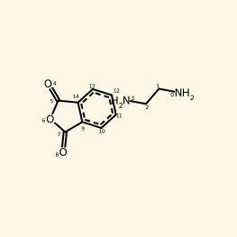 NCCN.O=C1OC(=O)c2ccccc21